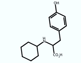 O=C(O)C(Cc1ccc(O)cc1)NC1CCCCC1